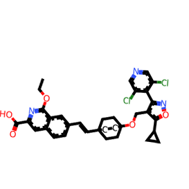 CCOc1nc(C(=O)O)cc2ccc(/C=C/C34CCC(OCc5c(-c6c(Cl)cncc6Cl)noc5C5CC5)(CC3)CC4)cc12